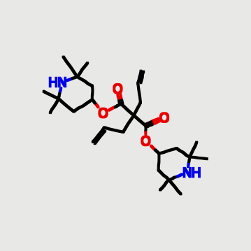 C=CCC(CC=C)(C(=O)OC1CC(C)(C)NC(C)(C)C1)C(=O)OC1CC(C)(C)NC(C)(C)C1